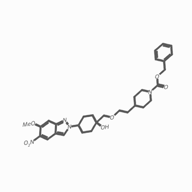 COc1cc2nn(C3CCC(O)(COCCC4CCN(C(=O)OCc5ccccc5)CC4)CC3)cc2cc1[N+](=O)[O-]